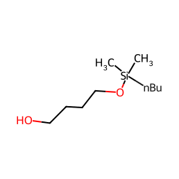 CCCC[Si](C)(C)OCCCCO